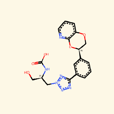 O=C(O)N[C@H](CO)Cn1nnc(-c2cccc([C@@H]3COc4cccnc4O3)c2)n1